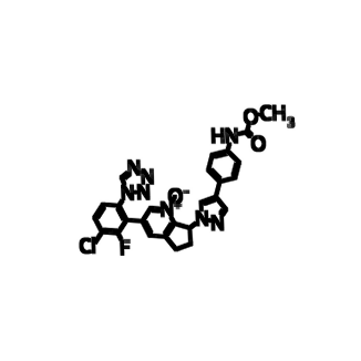 COC(=O)Nc1ccc(-c2cnn(C3CCc4cc(-c5c(-n6cnnn6)ccc(Cl)c5F)c[n+]([O-])c43)c2)cc1